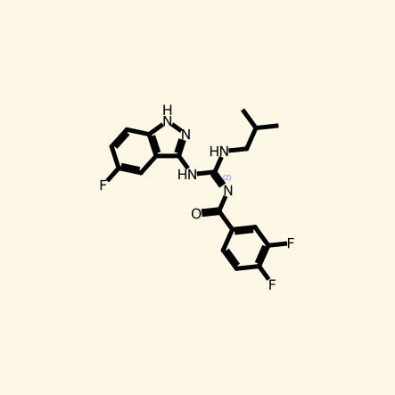 CC(C)CN/C(=N/C(=O)c1ccc(F)c(F)c1)Nc1n[nH]c2ccc(F)cc12